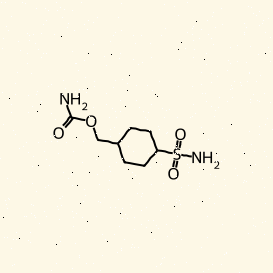 NC(=O)OCC1CCC(S(N)(=O)=O)CC1